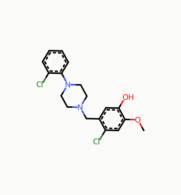 COc1cc(Cl)c(CN2CCN(c3ccccc3Cl)CC2)cc1O